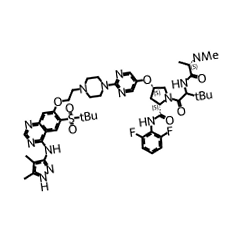 CN[C@@H](C)C(=O)NC(C(=O)N1C[C@@H](Oc2cnc(N3CCN(CCOc4cc5ncnc(Nc6n[nH]c(C)c6C)c5cc4S(=O)(=O)C(C)(C)C)CC3)nc2)C[C@H]1C(=O)Nc1c(F)cccc1F)C(C)(C)C